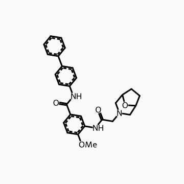 COc1ccc(C(=O)Nc2ccc(-c3ccccc3)cc2)cc1NC(=O)CN1CC2CCC(C1)O2